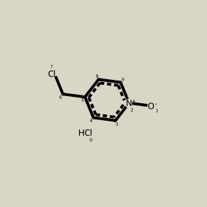 Cl.[O-][n+]1ccc(CCl)cc1